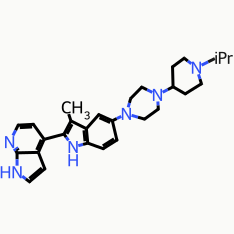 Cc1c(-c2ccnc3[nH]ccc23)[nH]c2ccc(N3CCN(C4CCN(C(C)C)CC4)CC3)cc12